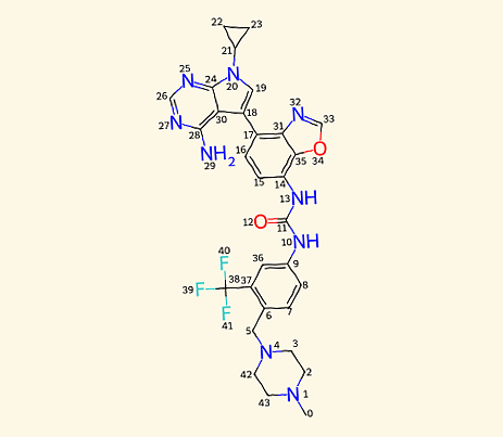 CN1CCN(Cc2ccc(NC(=O)Nc3ccc(-c4cn(C5CC5)c5ncnc(N)c45)c4ncoc34)cc2C(F)(F)F)CC1